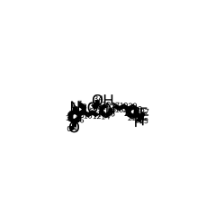 COc1ccc2nccc(CCC[C@@H]3CCN(CCCc4ccc(C(F)(F)F)cc4)C[C@@H]3C(=O)O)c2c1